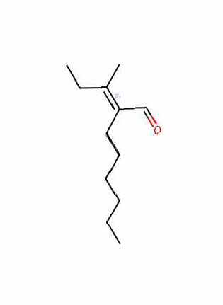 CCCCCC/C(C=O)=C(/C)CC